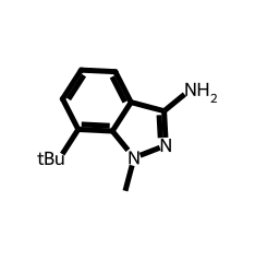 Cn1nc(N)c2cccc(C(C)(C)C)c21